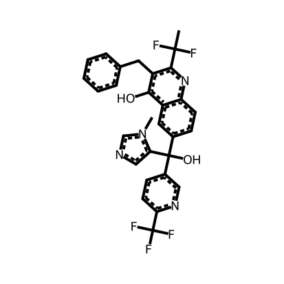 Cn1cncc1C(O)(c1ccc(C(F)(F)F)nc1)c1ccc2nc(C(C)(F)F)c(Cc3ccccc3)c(O)c2c1